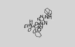 CCNC(=O)[C@H]1O[C@@H](n2cnc3c(NC45CC6CC(CC(C6)C4)C5)ncnc32)[C@H]2OC3(CCCCC3)OC12